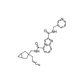 C=C=CCC1(CNC(=O)c2cccc3nc(C(=O)NCc4cccnc4)cn23)CC2CC2C1